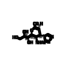 CC(=O)N[C@H]1[C@H]([C@H](O)[C@H](O)CO)OC(C(=O)O)=C[C@@H]1n1cnnn1